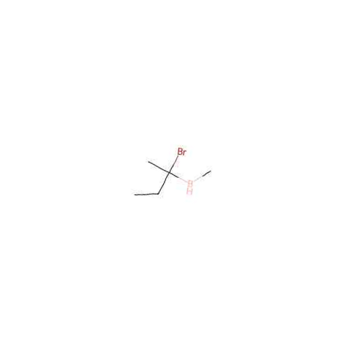 CBC(C)(Br)CC